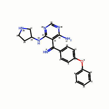 N=C(c1ccc(Oc2ccccc2)cc1)c1c(N)ncnc1NC1CCNC1